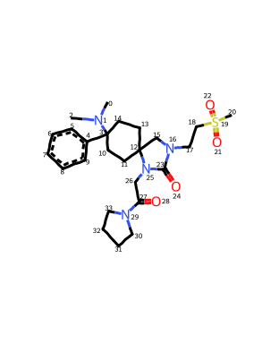 CN(C)C1(c2ccccc2)CCC2(CC1)CN(CCS(C)(=O)=O)C(=O)N2CC(=O)N1CCCC1